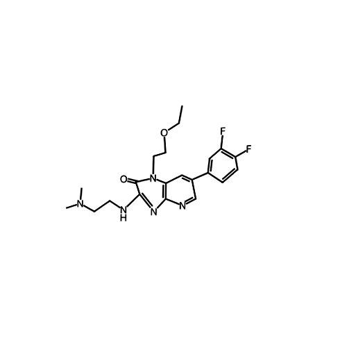 CCOCCn1c(=O)c(NCCN(C)C)nc2ncc(-c3ccc(F)c(F)c3)cc21